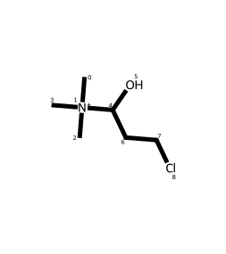 C[N+](C)(C)C(O)CCCl